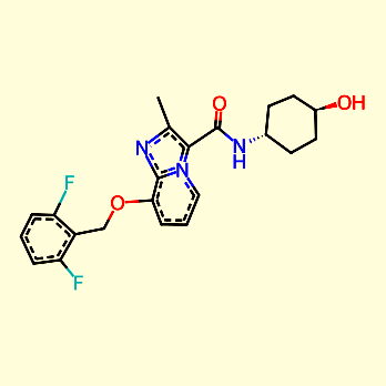 Cc1nc2c(OCc3c(F)cccc3F)cccn2c1C(=O)N[C@H]1CC[C@H](O)CC1